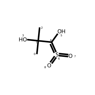 CC(C)(O)C(O)=S(=O)=O